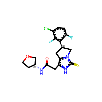 O=C(Cc1[nH]c(=S)n2c1C[C@@H](c1c(F)ccc(Cl)c1F)C2)N[C@@H]1CCOC1